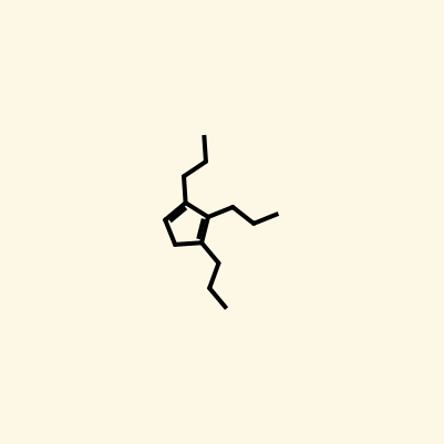 CCCC1=CCC(CCC)=C1CCC